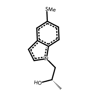 CSc1ccc2c(ccn2C[C@H](C)O)c1